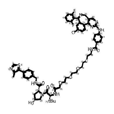 Cc1ncsc1-c1ccc(CNC(=O)[C@@H]2C[C@@H](O)CN2C(=O)[C@@H](NC(=O)COCCOCCOCCOCCNC(=O)c2ccc(Nc3ncc4c(n3)-c3ccc(Cl)cc3C(c3c(F)cccc3F)=NC4)cc2)C(C)(C)C)cc1